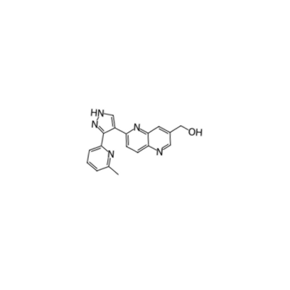 Cc1cccc(-c2n[nH]cc2-c2ccc3ncc(CO)cc3n2)n1